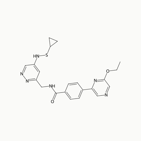 CCOc1cncc(-c2ccc(C(=O)NCc3cc(NSC4CC4)cnn3)cc2)n1